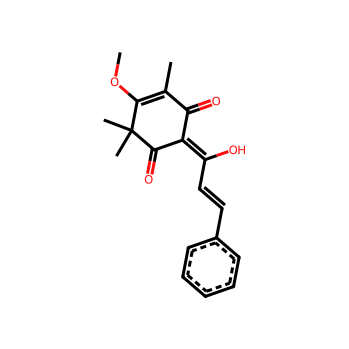 COC1=C(C)C(=O)/C(=C(O)/C=C/c2ccccc2)C(=O)C1(C)C